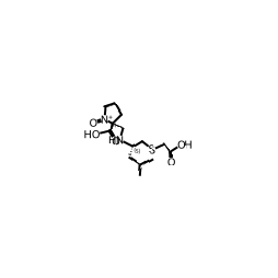 CC(C)C[C@@H](CSCC(=O)O)NC[C@]1(C(=O)O)CCC[N+]1=O